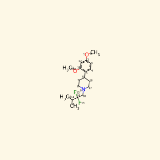 COc1ccc(C2CCN(CC(F)(F)C(C)C)CC2)c(OC)c1